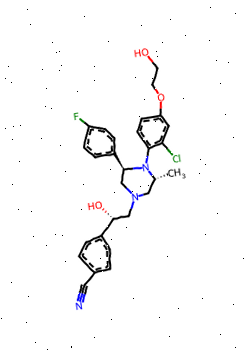 C[C@@H]1CN(C[C@@H](O)c2ccc(C#N)cc2)C[C@@H](c2ccc(F)cc2)N1c1ccc(OCCO)cc1Cl